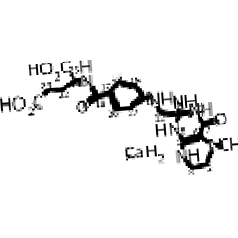 CN1CCNC2=C1C(=O)NC(N)(CNc1ccc(C(=O)N[C@@H](CCC(=O)O)C(=O)O)cc1)N2.[CaH2]